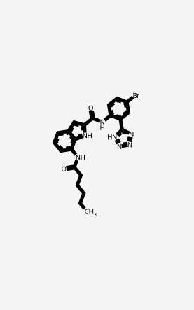 CCCCCC(=O)Nc1cccc2cc(C(=O)Nc3ccc(Br)cc3-c3nnn[nH]3)[nH]c12